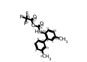 Cc1cccc(-c2cc(C)ccc2NC(=O)OC(=O)C(F)(F)F)c1